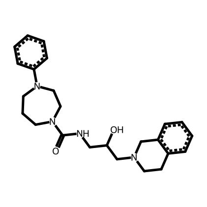 O=C(NCC(O)CN1CCc2ccccc2C1)N1CCCN(c2ccccc2)CC1